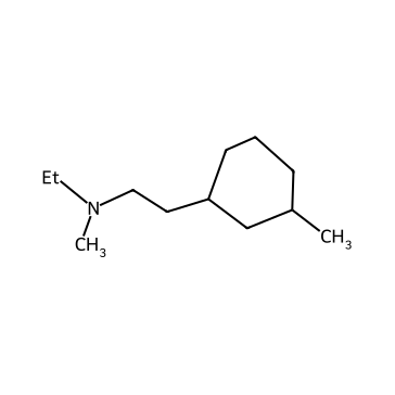 CCN(C)CCC1CCCC(C)C1